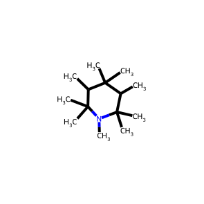 CC1C(C)(C)C(C)C(C)(C)N(C)C1(C)C